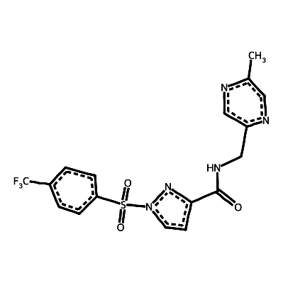 Cc1cnc(CNC(=O)c2ccn(S(=O)(=O)c3ccc(C(F)(F)F)cc3)n2)cn1